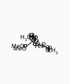 CCC(C)(C)C(=O)C(=O)N1CCCCC1C(=O)O[C@H](CCCCc1ccc(OC)c(OC)c1)c1cccc(OCCNC(=O)CCCOS(C)(=O)=O)c1